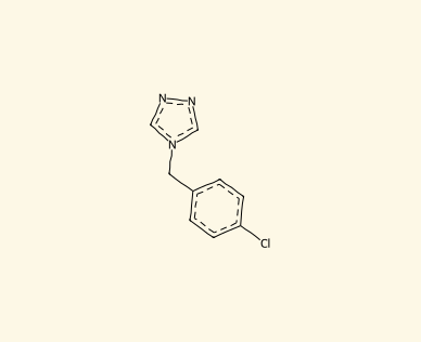 Clc1ccc(Cn2cnnc2)cc1